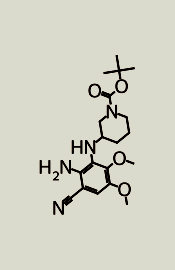 COc1cc(C#N)c(N)c(NC2CCCN(C(=O)OC(C)(C)C)C2)c1OC